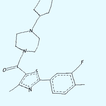 Cc1ccc(-c2nc(C)c(C(=O)N3CCN(C4CCCC4)CC3)s2)cc1F